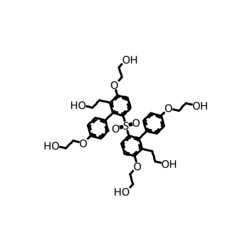 O=S(=O)(c1ccc(OCCO)c(CCO)c1-c1ccc(OCCO)cc1)c1ccc(OCCO)c(CCO)c1-c1ccc(OCCO)cc1